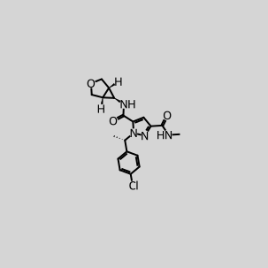 CNC(=O)c1cc(C(=O)N[C@H]2[C@@H]3COC[C@@H]32)n([C@@H](C)c2ccc(Cl)cc2)n1